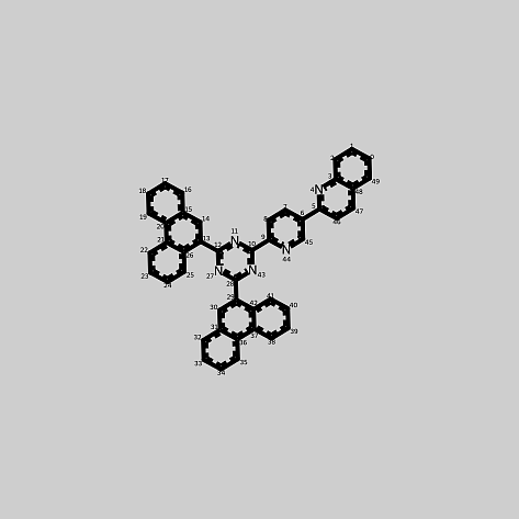 c1ccc2nc(-c3ccc(-c4nc(-c5cc6ccccc6c6ccccc56)nc(-c5cc6ccccc6c6ccccc56)n4)nc3)ccc2c1